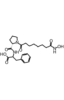 O=C(CCCCCCC(=O)N1CCC[C@H]1C(=O)NC(Cc1ccccc1)C(=O)O)NO